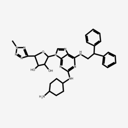 Cn1nnc(C2OC(n3cnc4c(NCC(c5ccccc5)c5ccccc5)nc(NC5CCC(N)CC5)nc43)C(O)C2O)n1